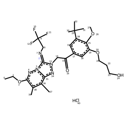 CCOc1nn2/c(=N/CC(F)(F)F)n(CC(=O)c3cc(OCCCO)c(OC)c(C(C)(C)C)c3)nc2c(C)c1C.Cl